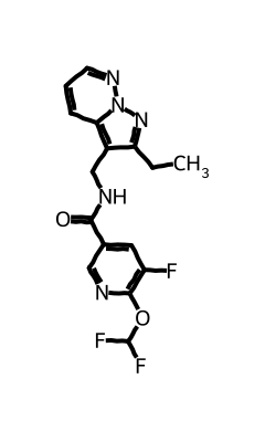 CCc1nn2ncccc2c1CNC(=O)c1cnc(OC(F)F)c(F)c1